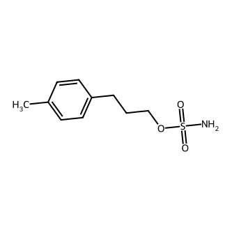 Cc1ccc(CCCOS(N)(=O)=O)cc1